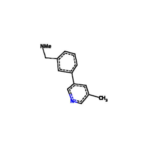 CNCc1cccc(-c2cncc(C)c2)c1